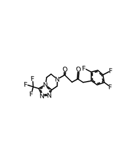 O=C(CC(=O)N1CCn2c(nnc2C(F)(F)F)C1)Cc1cc(F)c(F)cc1F